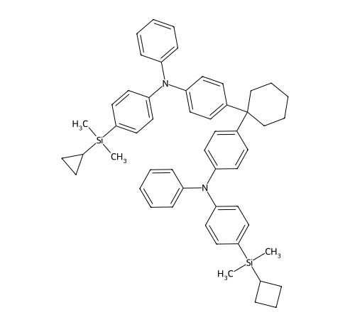 C[Si](C)(c1ccc(N(c2ccccc2)c2ccc(C3(c4ccc(N(c5ccccc5)c5ccc([Si](C)(C)C6CC6)cc5)cc4)CCCCC3)cc2)cc1)C1CCC1